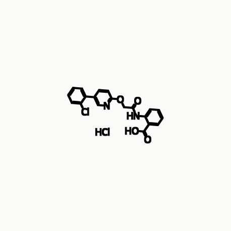 Cl.O=C(COc1ccc(-c2ccccc2Cl)cn1)Nc1ccccc1C(=O)O